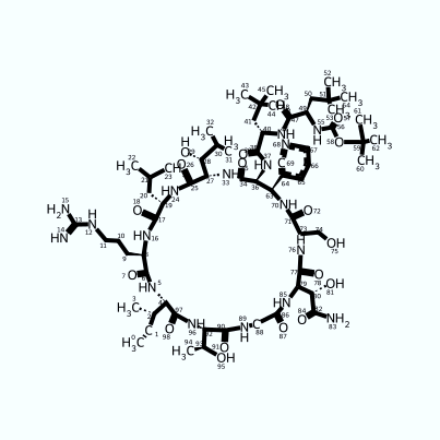 CC[C@H](C)[C@@H]1NC(=O)[C@@H](CCCNC(=N)N)NC(=O)[C@H](CC(C)C)NC(=O)[C@H]([C@H](O)C(C)C)NC(=O)[C@@H](NC(=O)[C@H](CC(C)(C)C)NC(=O)[C@@H](CC(C)(C)C)NC(=O)OC(C)(C)C)[C@@H](c2cccnc2)NC(=O)C(CO)NC(=O)C([C@H](O)C(N)=O)NC(=O)CNC(=O)[C@H]([C@H](C)O)NC1=O